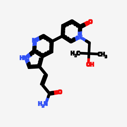 CC(C)(O)Cn1cc(-c2cnc3[nH]cc(C=CC(N)=O)c3c2)ccc1=O